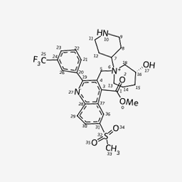 COC(=O)c1c(C[N+]2(C3CCNCC3)CCC[C@@H](O)C2)c(-c2cccc(C(F)(F)F)c2)nc2ccc(S(C)(=O)=O)cc12